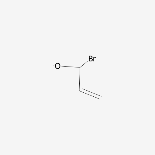 C=CC([O])Br